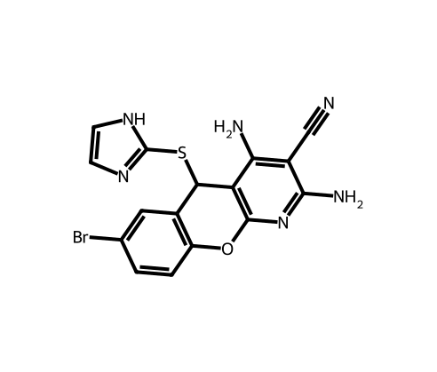 N#Cc1c(N)nc2c(c1N)C(Sc1ncc[nH]1)c1cc(Br)ccc1O2